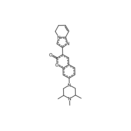 CC1CN(c2ccc3cc(-c4cn5c(n4)C=CCC5)c(=O)oc3c2)CC(C)N1C